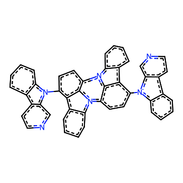 c1ccc2c(c1)c1ccncc1n2-c1ccc2c3c1c1ccccc1n3c1ccc(-n3c4ccccc4c4ccncc43)c3c4ccccc4n2c31